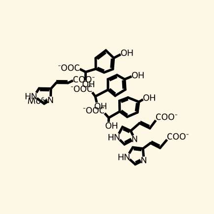 O=C([O-])C(O)c1ccc(O)cc1.O=C([O-])C(O)c1ccc(O)cc1.O=C([O-])C(O)c1ccc(O)cc1.O=C([O-])C=Cc1c[nH]cn1.O=C([O-])C=Cc1c[nH]cn1.O=C([O-])C=Cc1c[nH]cn1.[Mo+6]